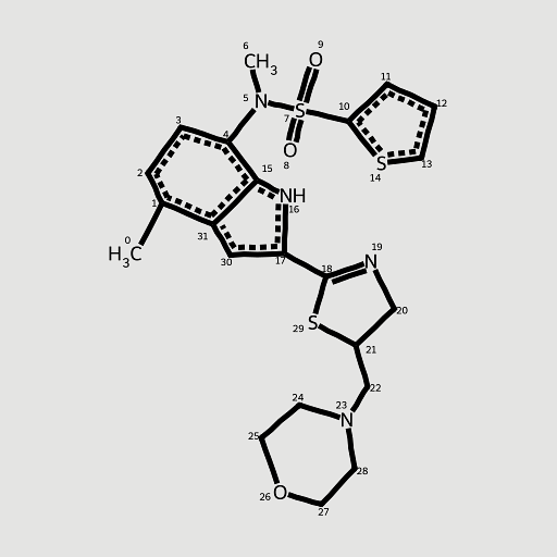 Cc1ccc(N(C)S(=O)(=O)c2cccs2)c2[nH]c(C3=NCC(CN4CCOCC4)S3)cc12